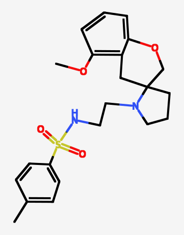 COc1cccc2c1CC1(CCCN1CCNS(=O)(=O)c1ccc(C)cc1)CO2